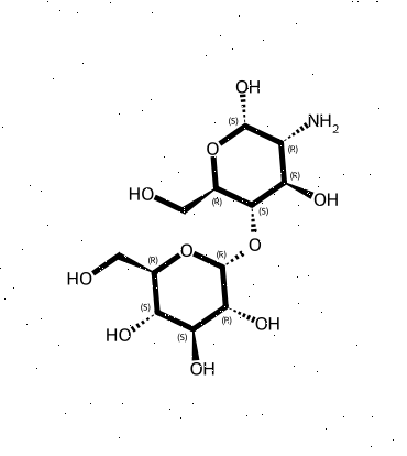 N[C@@H]1[C@@H](O)[C@H](O[C@H]2O[C@H](CO)[C@@H](O)[C@H](O)[C@H]2O)[C@@H](CO)O[C@@H]1O